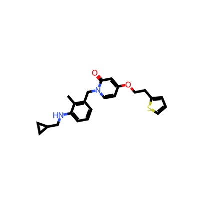 Cc1c(Cn2ccc(OCCc3cccs3)cc2=O)cccc1NCC1CC1